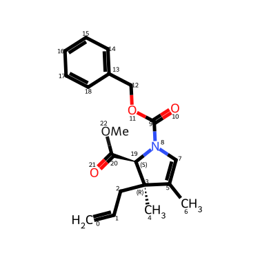 C=CC[C@]1(C)C(C)=CN(C(=O)OCc2ccccc2)[C@@H]1C(=O)OC